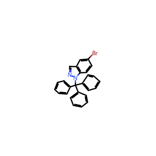 Brc1ccc2c(cnn2C(c2ccccc2)(c2ccccc2)c2ccccc2)c1